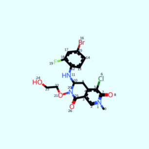 Cn1cc2c(c(Cl)c1=O)CC(Nc1ccc(Br)cc1F)N(OCCO)C2=O